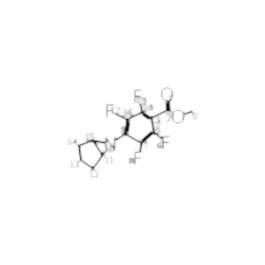 COC(=O)c1c(F)c(F)c(N2C3CCCC32)c(F)c1F